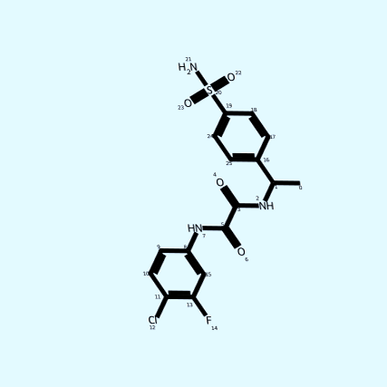 CC(NC(=O)C(=O)Nc1ccc(Cl)c(F)c1)c1ccc(S(N)(=O)=O)cc1